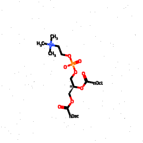 CCCCCCCCCCC(=O)OC[C@H](COP(=O)([O-])OCC[N+](C)(C)C)OC(=O)CCCCCCCC